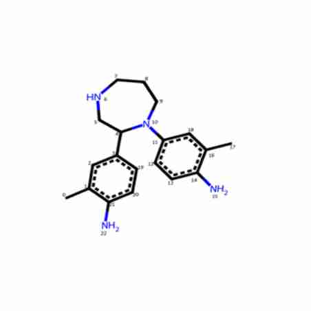 Cc1cc(C2CNCCCN2c2ccc(N)c(C)c2)ccc1N